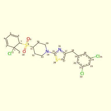 CC1(Cl)C=CC=CC1S(=O)(=O)C1CCN(c2nc(Cc3cc(Cl)cc(Cl)c3)cs2)CC1